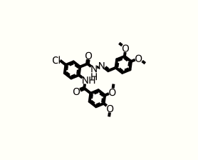 COc1ccc(/C=N/NC(=O)c2cc(Cl)ccc2NC(=O)c2ccc(OC)c(OC)c2)cc1OC